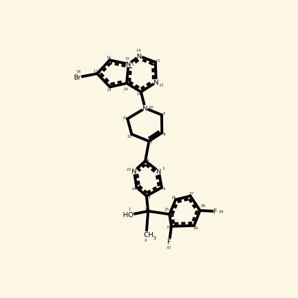 CC(O)(c1cnc(C2=CCN(c3ncnn4cc(Br)cc34)CC2)nc1)c1ccc(F)cc1F